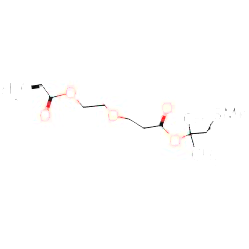 C=CC(=O)OCCOCCC(=O)OC(C)(C)CSC